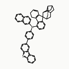 C1=CC2=C(CC1)c1c(N(c3ccc(-c4ccc5sc6ccccc6c5c4)cc3)c3ccc4ccccc4c3)cccc1C21C2CC3CC4CC1C3C4C2